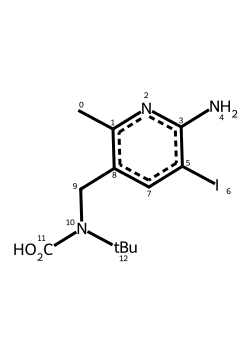 Cc1nc(N)c(I)cc1CN(C(=O)O)C(C)(C)C